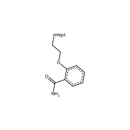 CCCCCCCCCOc1ccccc1C(N)=O